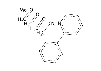 C=O.C=O.C=O.CC#N.[Mo].c1ccc(-c2ccccn2)nc1